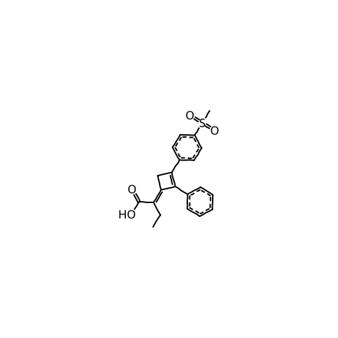 CC/C(C(=O)O)=C1/CC(c2ccc(S(C)(=O)=O)cc2)=C1c1ccccc1